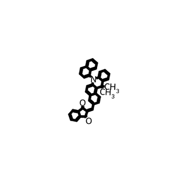 CC1(C)c2ccccc2N(c2cccc3ccccc23)c2ccc3cc(C=C4C(=O)c5ccccc5C4=O)ccc3c21